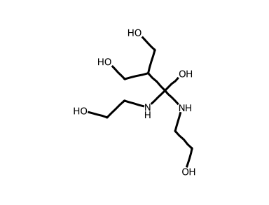 OCCNC(O)(NCCO)C(CO)CO